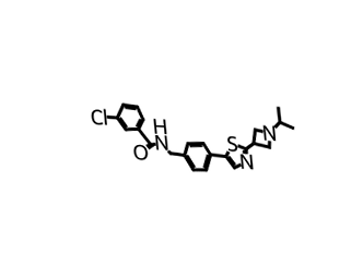 CC(C)N1CC(c2ncc(-c3ccc(CNC(=O)c4cccc(Cl)c4)cc3)s2)C1